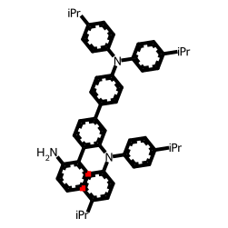 CC(C)c1ccc(N(c2ccc(-c3ccc(-c4ccccc4N)c(N(c4ccc(C(C)C)cc4)c4ccc(C(C)C)cc4)c3)cc2)c2ccc(C(C)C)cc2)cc1